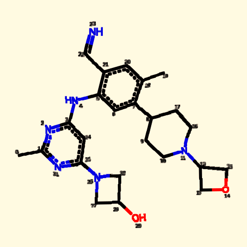 Cc1nc(Nc2cc(C3CCN(C4COC4)CC3)c(C)cc2C=N)cc(N2CC(O)C2)n1